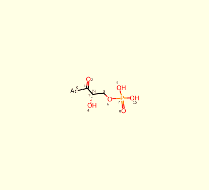 CC(=O)C(=O)[C@@H](O)COP(=O)(O)O